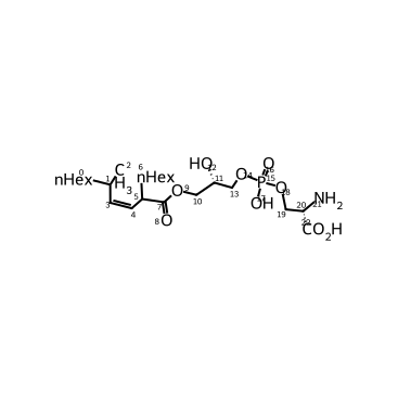 CCCCCCC(C)/C=C\C(CCCCCC)C(=O)OC[C@H](O)COP(=O)(O)OC[C@H](N)C(=O)O